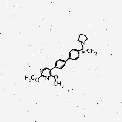 COc1ncc(-c2ccc(-c3ccc([C@@H](C)N4CCCC4)cc3)cc2)c(OC)n1